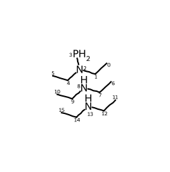 CCN(P)CC.CCNCC.CCNCC